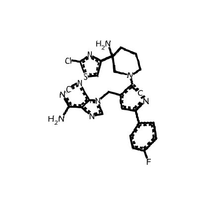 Nc1ncnc2c1ncn2Cc1cc(-c2ccc(F)cc2)ncc1N1CCCC(N)(c2csc(Cl)n2)C1